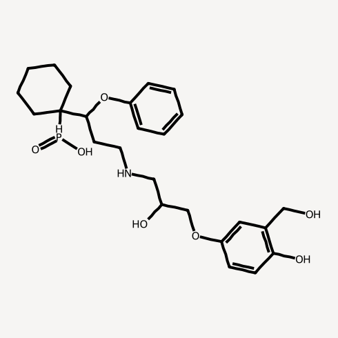 O=[PH](O)C1(C(CCNCC(O)COc2ccc(O)c(CO)c2)Oc2ccccc2)CCCCC1